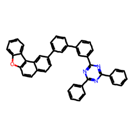 c1ccc(-c2nc(-c3ccccc3)nc(-c3cccc(-c4cccc(-c5ccc6ccc7oc8ccccc8c7c6c5)c4)c3)n2)cc1